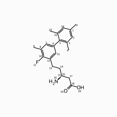 Cc1cc(C)c(-c2cc(C)c(F)c(CC[C@H](N)CC(=O)O)c2)c(C)c1